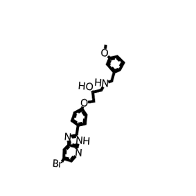 COc1cccc(CNCC(O)COc2ccc(-c3nc4cc(Br)cnc4[nH]3)cc2)c1